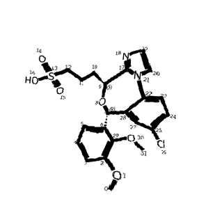 COc1cccc([C@@H]2O[C@@H](CCCS(=O)(=O)O)c3nccn3-c3ccc(Cl)cc32)c1OC